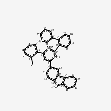 Cc1ccccc1-c1cc(-c2ccc3oc4ccccc4c3c2)nc(-c2ccccc2-c2cccnc2)n1